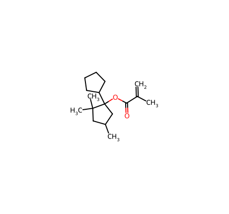 C=C(C)C(=O)OC1(C2CCCC2)CC(C)CC1(C)C